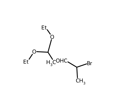 CC(Br)C=O.CCOC(C)OCC